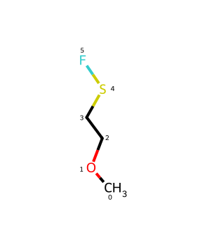 COCCSF